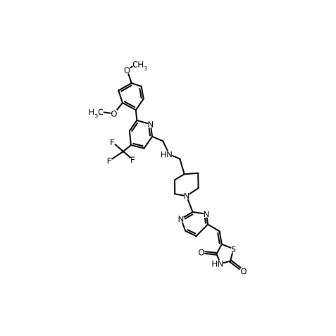 COc1ccc(-c2cc(C(F)(F)F)cc(CNCC3CCN(c4nccc(C=C5SC(=O)NC5=O)n4)CC3)n2)c(OC)c1